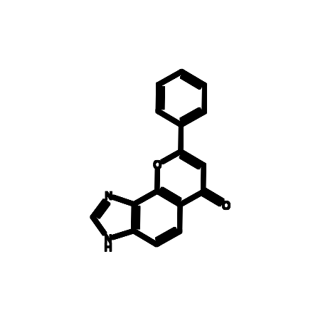 O=c1cc(-c2ccccc2)oc2c1ccc1[nH]cnc12